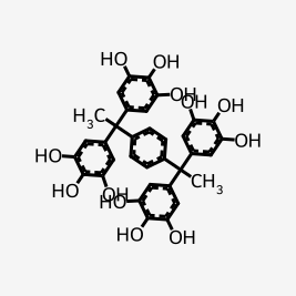 CC(c1ccc(C(C)(c2cc(O)c(O)c(O)c2)c2cc(O)c(O)c(O)c2)cc1)(c1cc(O)c(O)c(O)c1)c1cc(O)c(O)c(O)c1